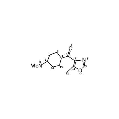 CNC1CCC(C(=O)c2ncoc2C)CC1